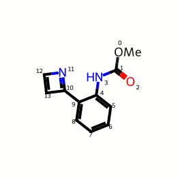 COC(=O)Nc1ccccc1C1=NC=C1